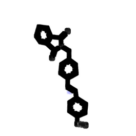 O=Cc1ccc(/C=C/c2ccc(CN3C(=O)c4ccccc4C3=O)cc2)cc1